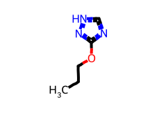 CCCOc1nc[nH]n1